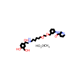 CC(=O)O.O=C(Nc1cccc(COCCOCCCCCCNC[C@H](O)c2ccc(O)c(CO)c2)c1)c1cccnc1